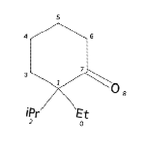 CCC1(C(C)C)CCCCC1=O